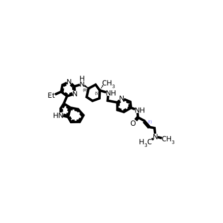 CCc1cnc(N[C@@H]2CCC[C@](C)(NCc3ccc(NC(=O)/C=C/CN(C)C)cn3)C2)nc1-c1c[nH]c2ccccc12